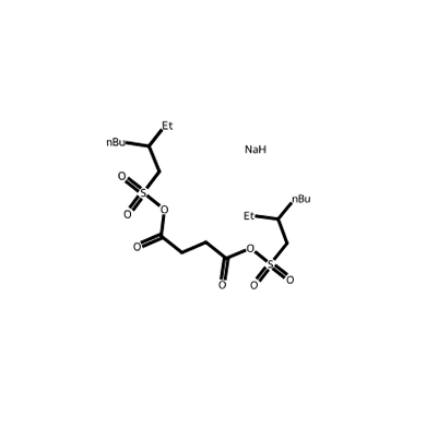 CCCCC(CC)CS(=O)(=O)OC(=O)CCC(=O)OS(=O)(=O)CC(CC)CCCC.[NaH]